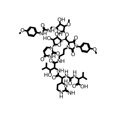 COc1ccc(NC(=O)NC[C@H]2O[C@H](OC(C3C(=O)N(c4ccc(OC)cc4)C(=O)N3CCCNC(=O)C(NC(=O)C(NC(=O)NC(C(=O)O)C(C)C)C3CCNC(=N)N3)C(O)C(C)C)[C@H]3O[C@@H](n4ccc(=O)[nH]c4=O)C(O)C3O)C(OC)C2O)cc1